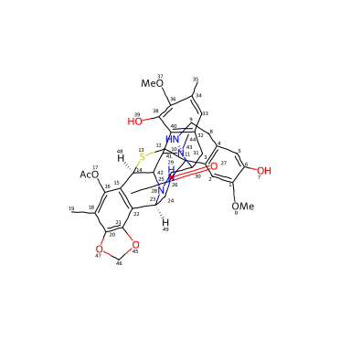 COc1cc2c(cc1O)CCN[C@]21CS[C@@H]2c3c(OC(C)=O)c(C)c4c(c3[C@H](CNC1=O)N1CC3Cc5cc(C)c(OC)c(O)c5C(C21)N3C)OCO4